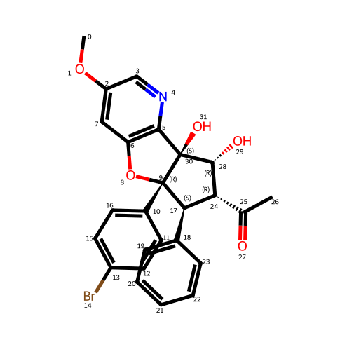 COc1cnc2c(c1)O[C@@]1(c3ccc(Br)cc3)[C@H](c3ccccc3)[C@@H](C(C)=O)[C@@H](O)[C@@]21O